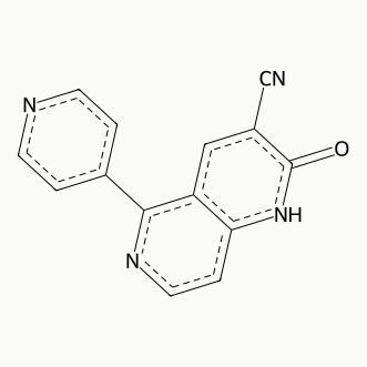 N#Cc1cc2c(-c3ccncc3)nccc2[nH]c1=O